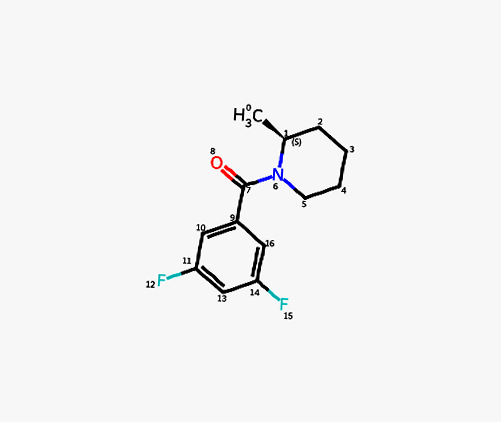 C[C@H]1CCCCN1C(=O)c1cc(F)cc(F)c1